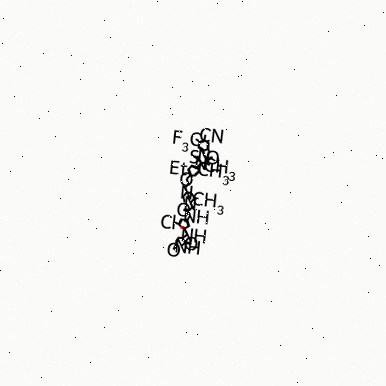 CCc1cc(N2C(=S)N(c3ccc(C#N)c(C(F)(F)F)c3)C(=O)C2(C)C)ccc1OCCN1CCN(CC(=O)Nc2cc(Cl)cc(NC3CCC(=O)NC3=O)c2)C(C)C1